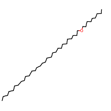 CCCCCCCCCCCCCCCCCCCCCCCCCCCCCCOCCCCCCCCC